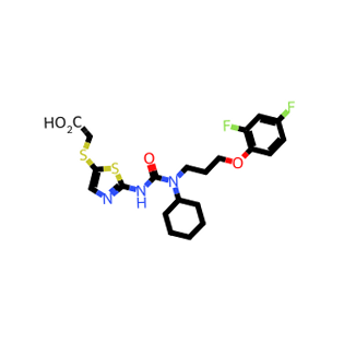 O=C(O)CSc1cnc(NC(=O)N(CCCOc2ccc(F)cc2F)C2CCCCC2)s1